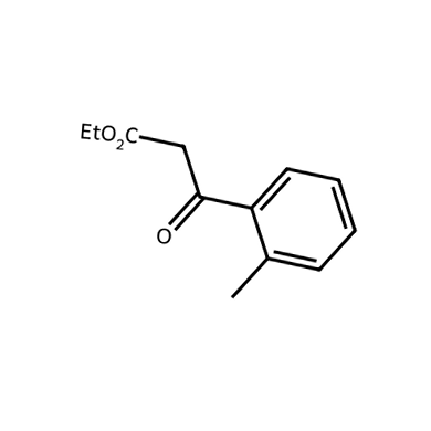 CCOC(=O)CC(=O)c1ccccc1C